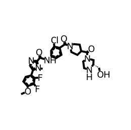 COc1ccc(-c2cnc(C(=O)Nc3ccc(C(=O)N4CCC(C(=O)N5CCN[C@@H](CO)C5)CC4)c(Cl)c3)n2C)c(F)c1F